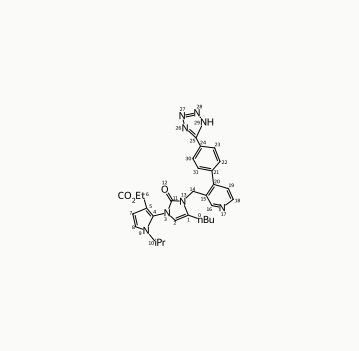 CCCCc1cn(-c2c(C(=O)OCC)ccn2C(C)C)c(=O)n1Cc1cnccc1-c1ccc(-c2nnn[nH]2)cc1